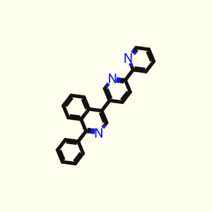 c1ccc(-c2ncc(-c3ccc(-c4ccccn4)nc3)c3ccccc23)cc1